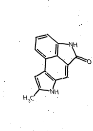 Cc1cc2c(cc3c4c(cccc42)NC3=O)[nH]1